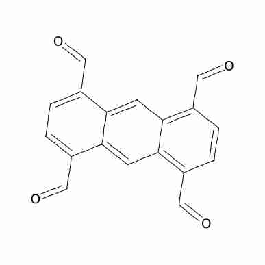 O=Cc1ccc(C=O)c2cc3c(C=O)ccc(C=O)c3cc12